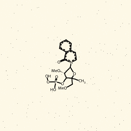 COCC1(C)OC(n2ccc3ccccc3c2=O)[C@@H](OC)C1OP(=O)(O)OO